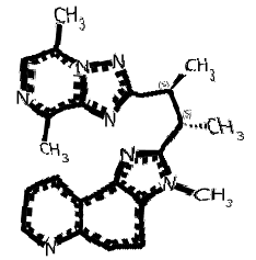 Cc1ncc(C)n2nc([C@@H](C)[C@H](C)c3nc4c5cccnc5ccc4n3C)nc12